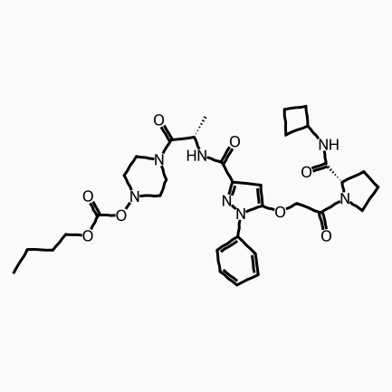 CCCCOC(=O)ON1CCN(C(=O)[C@H](C)NC(=O)c2cc(OCC(=O)N3CCC[C@H]3C(=O)NC3CCC3)n(-c3ccccc3)n2)CC1